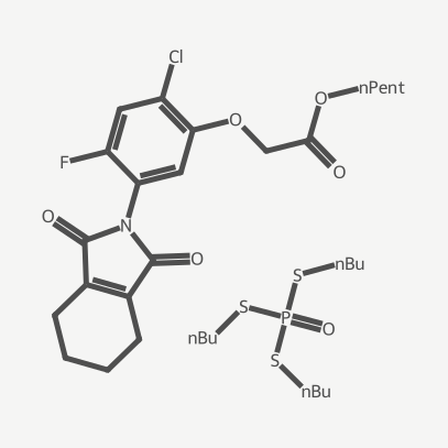 CCCCCOC(=O)COc1cc(N2C(=O)C3=C(CCCC3)C2=O)c(F)cc1Cl.CCCCSP(=O)(SCCCC)SCCCC